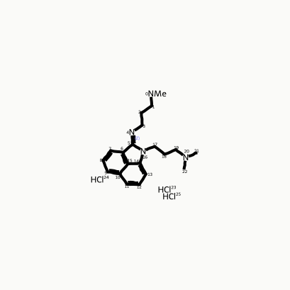 CNCCC/N=C1/c2cccc3cccc(c23)N1CCCN(C)C.Cl.Cl.Cl